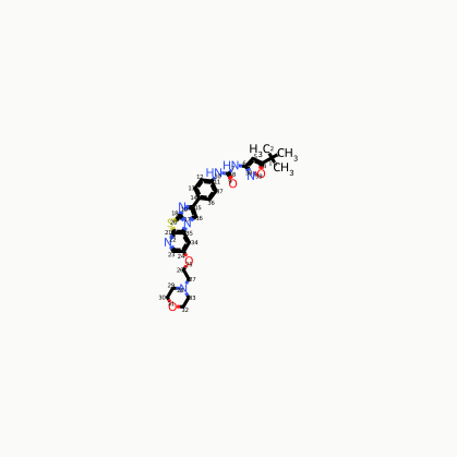 CC(C)(C)c1cc(NC(=O)Nc2ccc(-c3cn4c(n3)sc3ncc(OCCN5CCOCC5)cc34)cc2)no1